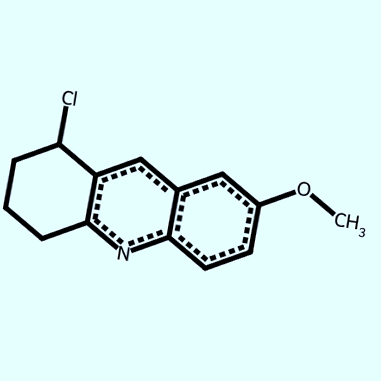 COc1ccc2nc3c(cc2c1)C(Cl)CCC3